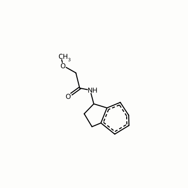 COCC(=O)NC1CCc2ccccc21